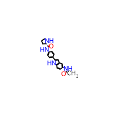 CC(=O)Nc1ccc2[nH]c(-c3ccc(NC(=O)[C@@H]4CCCN4)cc3)cc2c1